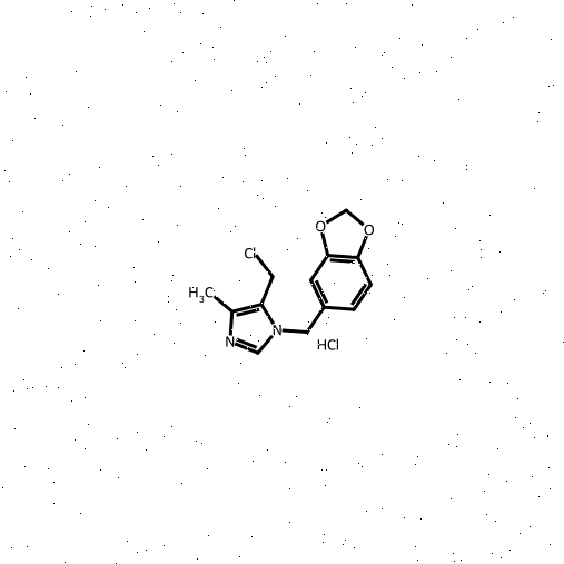 Cc1ncn(Cc2ccc3c(c2)OCO3)c1CCl.Cl